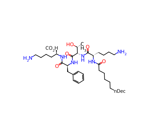 CCCCCCCCCCCCCCCC(=O)N[C@@H](CCCCN)C(=O)N[C@H](C(=O)N[C@@H](Cc1ccccc1)C(=O)N[C@@H](CCCCN)C(=O)O)[C@@H](C)O